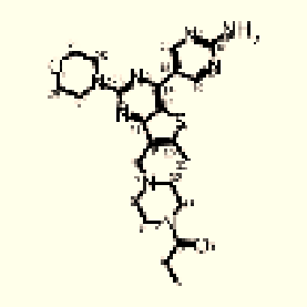 CCC(=O)N1CCN(Cc2c(C)sc3c(-c4cnc(N)nc4)nc(N4CCOCC4)nc23)CC1